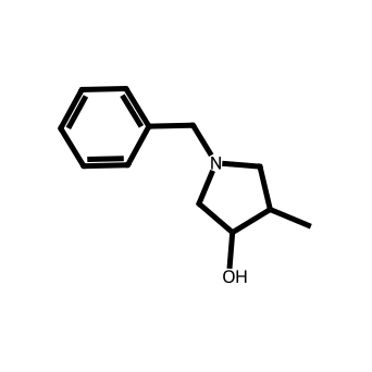 CC1CN(Cc2ccccc2)CC1O